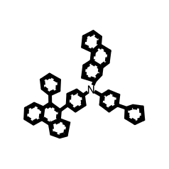 c1ccc(-c2ccc(N(c3ccc(-c4c(-c5ccccc5)c5ccccc5c5ccccc45)cc3)c3ccc4c(ccc5ccccc54)c3)cc2)cc1